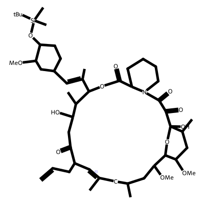 C=CCC1/C=C(\C)CC(C)CC(OC)C2OC(O)(C(=O)C(=O)N3CCCCC3C(=O)OC(C(C)=CC3CCC(O[Si](C)(C)C(C)(C)C)C(OC)C3)C(C)C(O)CC1=O)C(C)CC2OC